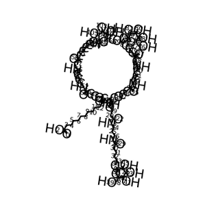 O=C(O)CCCCCCCCCCC(=O)NC1(COCCC(=O)NCCCNC(=O)CCCCO[C@H]2OC(CO)[C@@H](O)C(O)C2O)COCCC(=O)NCCCNCC(=O)CCCCO[C@H]2OC(COC(O[C@H]3OC(CO)[C@@H](O)C(O)[C@H]3O)CCCC(=O)CNCCCNC(=O)CCOC1)[C@@H](O)C(O)C2O